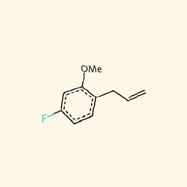 C=CCc1ccc(F)cc1OC